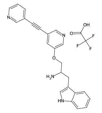 NC(COc1cncc(C#Cc2cccnc2)c1)Cc1c[nH]c2ccccc12.O=C(O)C(F)(F)F